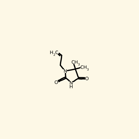 C=CCN1C(=O)NC(=O)C1(C)C